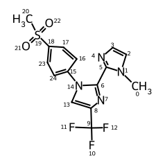 Cn1ccnc1-c1nc(C(F)(F)F)cn1-c1ccc(S(C)(=O)=O)cc1